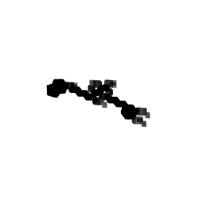 Cc1ccc(CCCCCOC(C(=O)N(C)CCCCCNc2ccc3c(c2)CCC3)C(O)C(=O)O)cc1C